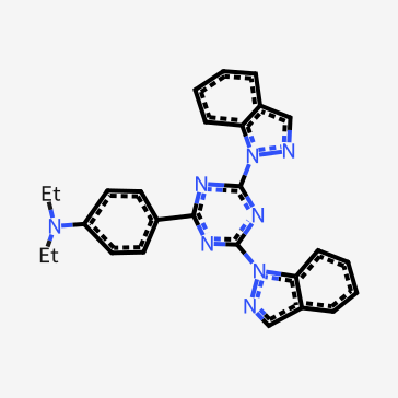 CCN(CC)c1ccc(-c2nc(-n3ncc4ccccc43)nc(-n3ncc4ccccc43)n2)cc1